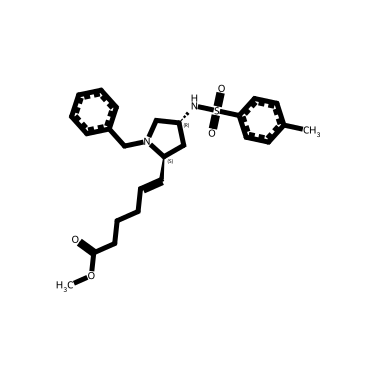 COC(=O)CCCC=C[C@@H]1C[C@@H](NS(=O)(=O)c2ccc(C)cc2)CN1Cc1ccccc1